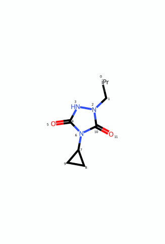 CC(C)Cn1[nH]c(=O)n(C2CC2)c1=O